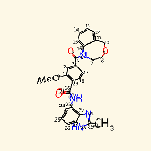 COc1cc(C(=O)N2CCOCc3ccccc32)ccc1C(=O)Nc1cccc2[nH]c(C)nc12